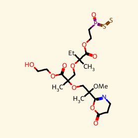 CCC(C)(OCC(C)(OCC(C)(OC)C1=NCCC(=O)O1)C(=O)OCCO)C(=O)OCCP(=O)=S=S